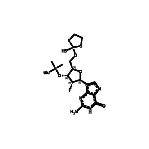 CC(C)(C)[Si](C)(C)O[C@H]1[C@@H](F)[C@H](n2cnc3c(=O)[nH]c(N)nc32)O[C@@H]1CO[P]1(S)SCCS1